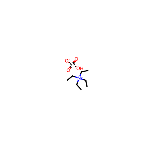 CC[N+](CC)(CC)CC.O=[Se](=O)([O-])O